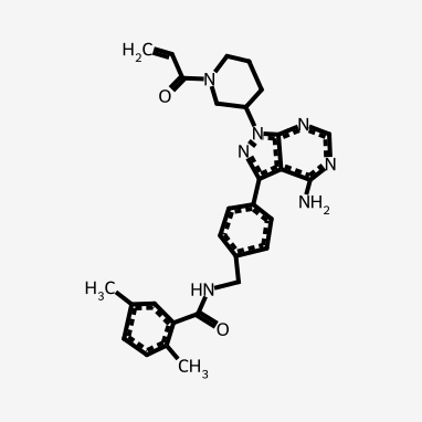 C=CC(=O)N1CCCC(n2nc(-c3ccc(CNC(=O)c4cc(C)ccc4C)cc3)c3c(N)ncnc32)C1